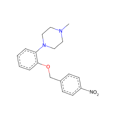 CN1CCN(c2ccccc2OCc2ccc([N+](=O)[O-])cc2)CC1